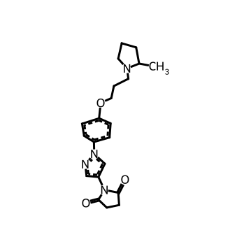 CC1CCCN1CCCOc1ccc(-n2cc(N3C(=O)CCC3=O)cn2)cc1